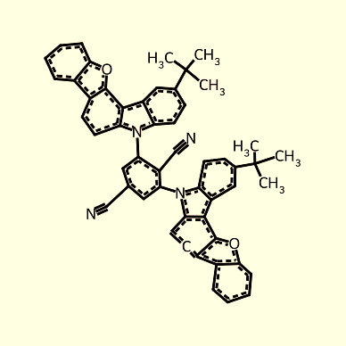 CC(C)(C)c1ccc2c(c1)c1c3oc4ccccc4c3ccc1n2-c1cc(C#N)cc(-n2c3ccc(C(C)(C)C)cc3c3c4oc5ccccc5c4ccc32)c1C#N